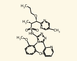 CCCO[C@@H](c1ncc(C)cn1)[C@H](C)S(=O)(=O)Nc1nnc(C2=C=C=CC=N2)n1-c1c(O)cccc1OC